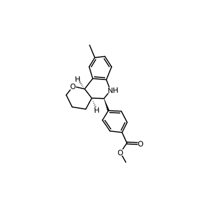 COC(=O)c1ccc([C@@H]2Nc3ccc(C)cc3[C@@H]3OCCC[C@H]23)cc1